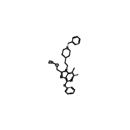 CCOCc1nc2c(Oc3ccccc3)nc(C)c(C)c2n1CCC1CCN(Cc2ccccc2)CC1